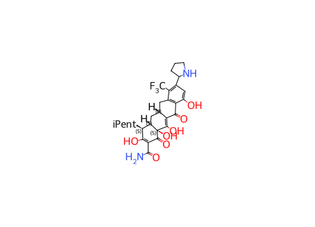 CCCC(C)[C@@H]1C(O)=C(C(N)=O)C(=O)[C@@]2(O)C(O)=C3C(=O)c4c(O)cc(C5CCCN5)c(C(F)(F)F)c4C[C@H]3C[C@@H]12